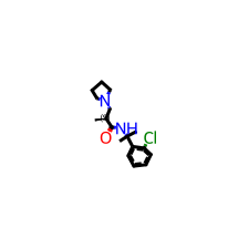 C[C@@H](CN1CCCC1)C(=O)NC(C)(C)c1ccccc1Cl